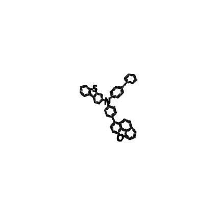 c1ccc(-c2ccc(N(c3ccc(-c4ccc5oc6cccc7ccc4c5c76)cc3)c3ccc4c(c3)sc3ccccc34)cc2)cc1